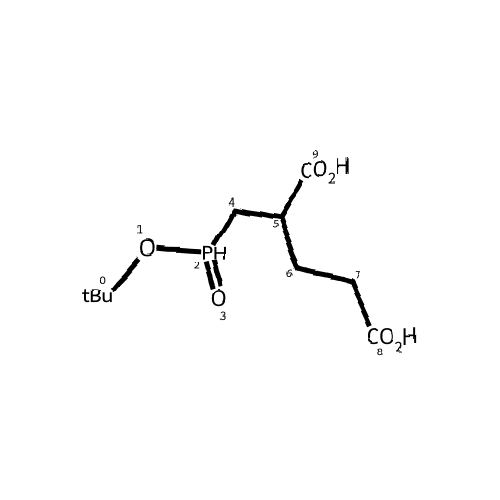 CC(C)(C)O[PH](=O)CC(CCC(=O)O)C(=O)O